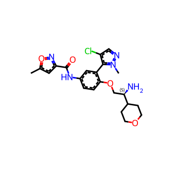 Cc1cc(C(=O)Nc2ccc(OC[C@@H](N)C3CCOCC3)c(-c3c(Cl)cnn3C)c2)no1